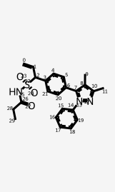 C=CC(c1ccc(-c2c(C)c(C)nn2-c2ccccc2)cc1)S(=O)(=O)NC(=O)CC